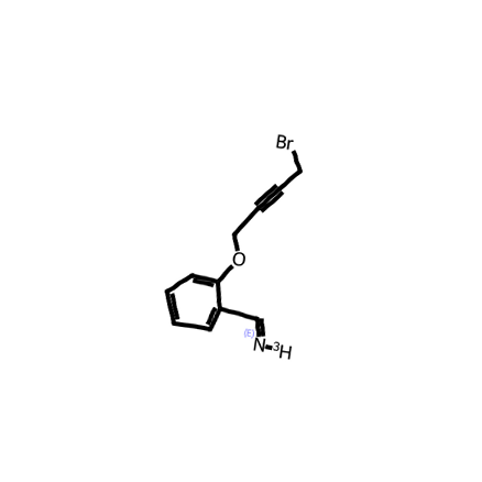 [3H]/N=C/c1ccccc1OCC#CCBr